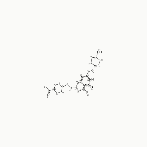 CC(=O)N1CCC(COc2cc(F)c3c(=O)[nH]c(CS[C@H]4CC[C@@H](O)CC4)nc3c2)CC1